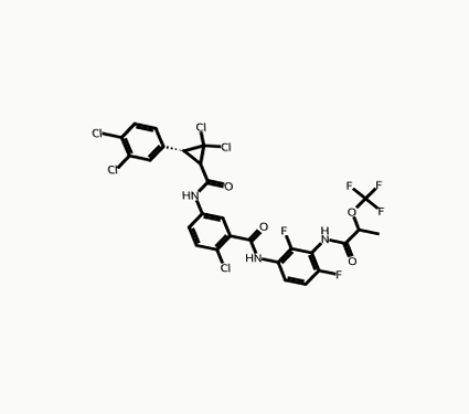 CC(OC(F)(F)F)C(=O)Nc1c(F)ccc(NC(=O)c2cc(NC(=O)C3[C@H](c4ccc(Cl)c(Cl)c4)C3(Cl)Cl)ccc2Cl)c1F